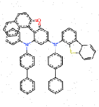 C1=CC2Sc3c(cccc3N(c3ccc(-c4ccccc4)cc3)c3cc(N(c4ccccc4)c4ccc(-c5ccccc5)cc4)c4c(c3)oc3ccc5ccccc5c34)C2C=C1